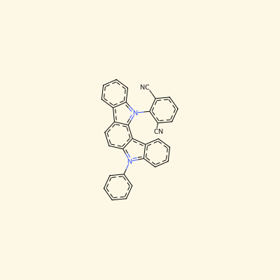 N#Cc1cccc(C#N)c1-n1c2ccccc2c2ccc3c(c4ccccc4n3-c3ccccc3)c21